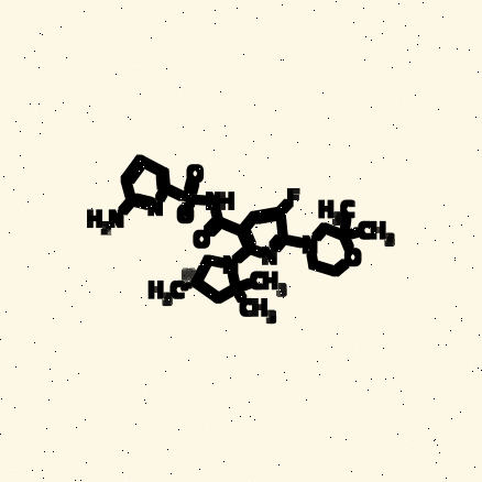 C[C@@H]1CN(c2nc(N3CCOC(C)(C)C3)c(F)cc2C(=O)NS(=O)(=O)c2cccc(N)n2)C(C)(C)C1